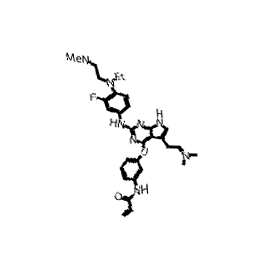 C=CC(=O)Nc1cccc(Oc2nc(Nc3ccc(N(CC)CCNC)c(F)c3)nc3[nH]cc(CCN(C)C)c23)c1